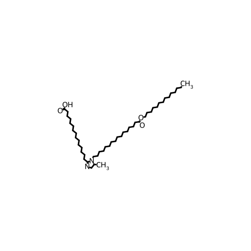 CCCCCCCCCCCCCCOC(=O)CCCCCCCCCCCCCCCN1C(CCCCCCCCCCCCCCC(=O)O)=NCC1C